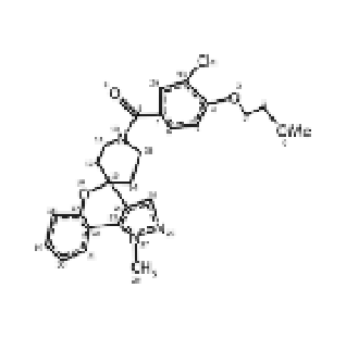 COCCOc1ccc(C(=O)N2CCC3(CC2)Oc2ccccc2-c2c3cnn2C)cc1Cl